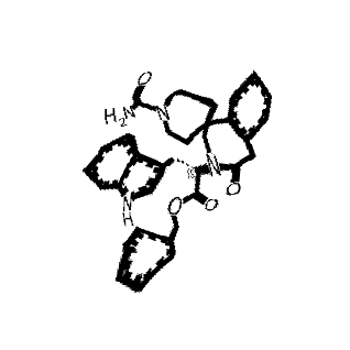 NC(=O)N1CCC2(CC1)c1ccccc1CC(=O)N2[C@@H](Cc1c[nH]c2ccccc12)C(=O)OCc1ccccc1